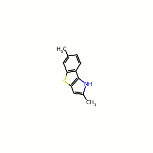 Cc1ccc2c(c1)sc1cc(C)[nH]c12